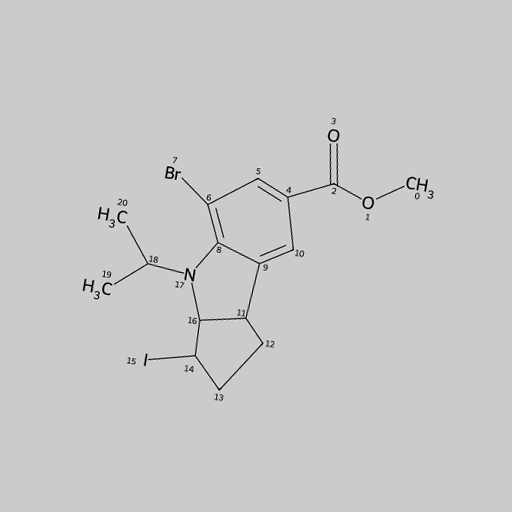 COC(=O)c1cc(Br)c2c(c1)C1CCC(I)C1N2C(C)C